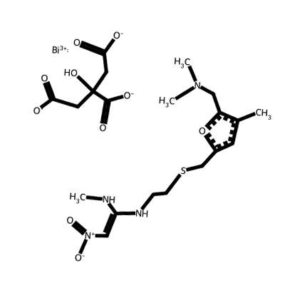 CN/C(=C\[N+](=O)[O-])NCCSCc1cc(C)c(CN(C)C)o1.O=C([O-])CC(O)(CC(=O)[O-])C(=O)[O-].[Bi+3]